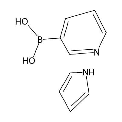 OB(O)c1cccnc1.c1cc[nH]c1